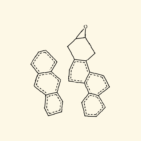 c1ccc2c(c1)ccc1c3c(ccc12)CC1OC1C3.c1ccc2cc3ccccc3cc2c1